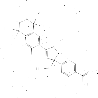 COC1(c2ccc(C(=O)O)cn2)C=C(c2cc3c(cc2C)C(C)(C)CCC3(C)C)CC1